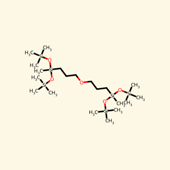 C[Si](C)(C)O[Si](C)(CCCOCCC[Si](C)(O[Si](C)(C)C)O[Si](C)(C)C)O[Si](C)(C)C